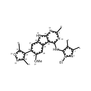 CCn1nc(C)c(C)c1Nc1nc(C)nc2[nH]c3cc(-c4c(C)noc4C)c(OC)cc3c12